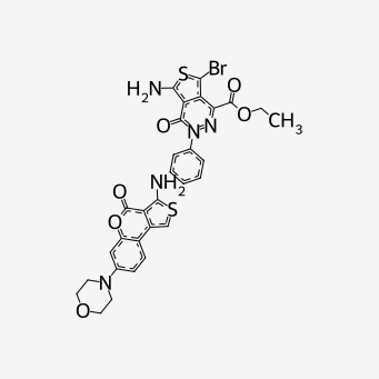 CCOC(=O)c1nn(-c2ccccc2)c(=O)c2c(N)sc(Br)c12.Nc1scc2c1c(=O)oc1cc(N3CCOCC3)ccc12